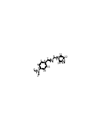 CN(C)c1ccc(C=NCn2ccnc2)cc1